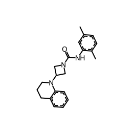 Cc1ccc(C)c(NC(=O)N2CC(N3CCCc4ccccc43)C2)c1